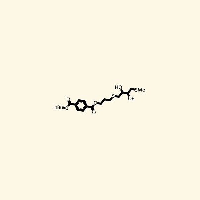 CCCCOC(=O)c1ccc(C(=O)OCCCSCC(O)C(O)CSC)cc1